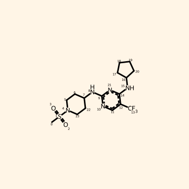 CS(=O)(=O)N1CCC(Nc2ncc(C(F)(F)F)c(NC3CCCC3)n2)CC1